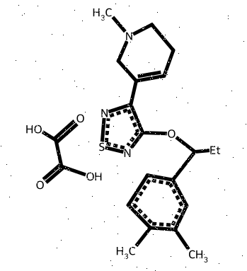 CCC(Oc1nsnc1C1=CCCN(C)C1)c1ccc(C)c(C)c1.O=C(O)C(=O)O